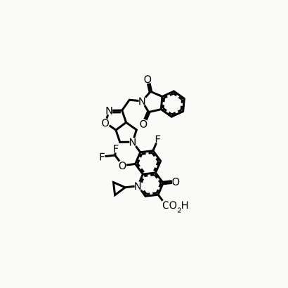 O=C(O)c1cn(C2CC2)c2c(OC(F)F)c(N3CC4ON=C(CN5C(=O)c6ccccc6C5=O)C4C3)c(F)cc2c1=O